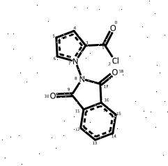 O=C(Cl)c1cccn1N1C(=O)c2ccccc2C1=O